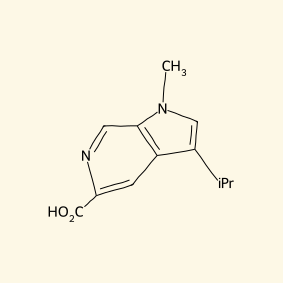 CC(C)c1cn(C)c2cnc(C(=O)O)cc12